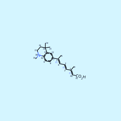 CC(/C=C/C=C(\C)c1ccc2c(c1)C(C)(C)CCN2C)=C\C(=O)O